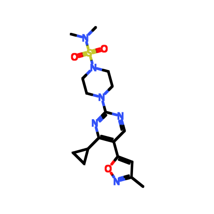 Cc1cc(-c2cnc(N3CCN(S(=O)(=O)N(C)C)CC3)nc2C2CC2)on1